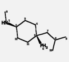 CN[C@H]1CC[C@](P)(CC(C)C)CC1